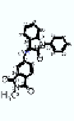 CN1C(=O)c2ccc(/N=C3\C(=O)N(c4ccccc4)c4ccccc43)cc2C1=O